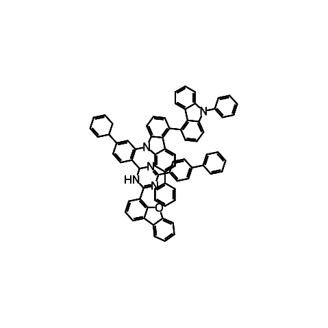 C1=CCC(c2ccc(C3N=C(c4ccc(-c5ccccc5)cc4)N=C(c4cccc5c4oc4ccccc45)N3)c(-n3c4cc(-c5ccccc5)ccc4c4c(-c5cccc6c5c5ccccc5n6-c5ccccc5)cccc43)c2)C=C1